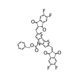 O=C1C(=Cc2cc3c(s2)c2sc(C=C4C(=O)c5cc(F)c(F)cc5C4=O)cc2n3C(=O)OCc2ccccc2)C(=O)c2cc(F)c(F)cc21